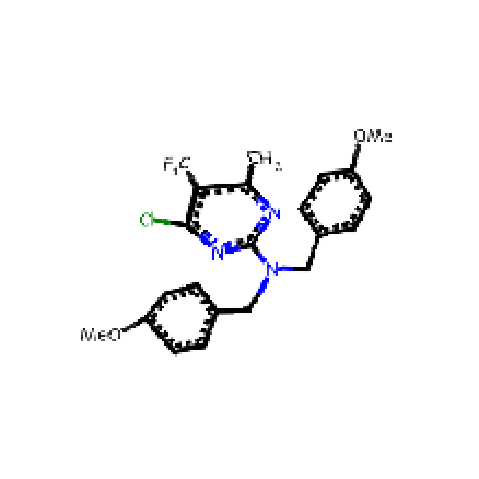 COc1ccc(CN(Cc2ccc(OC)cc2)c2nc(C)c(C(F)(F)F)c(Cl)n2)cc1